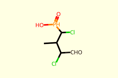 CC(C(Cl)C=O)C(Cl)[PH](=O)O